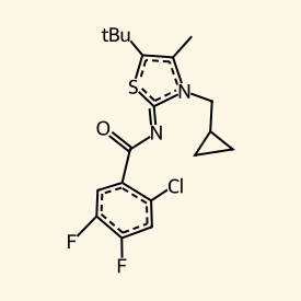 Cc1c(C(C)(C)C)s/c(=N\C(=O)c2cc(F)c(F)cc2Cl)n1CC1CC1